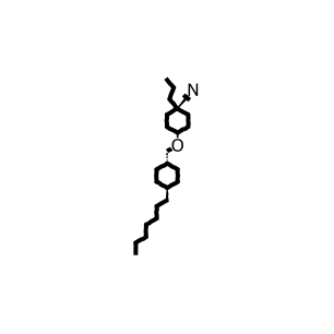 CCCCCCC[C@H]1CC[C@H](CO[C@H]2CC[C@@](C#N)(CCC)CC2)CC1